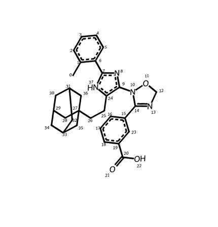 Cc1ccccc1-c1nc(N2OCN=C2c2cccc(C(=O)O)c2)c(CCC23CC4CC(CC(C4)C2)C3)[nH]1